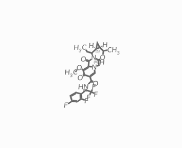 CCC1[C@H]2C[C@H]2C(C)O[C@@H]2Cn3cc(C(=O)N[C@@H](c4ccc(F)cc4F)C(F)(F)F)c(=O)c(OC)c3C(=O)N12